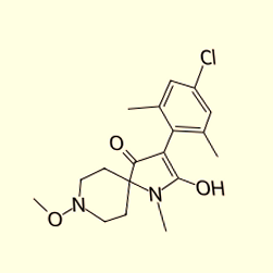 CON1CCC2(CC1)C(=O)C(c1c(C)cc(Cl)cc1C)=C(O)N2C